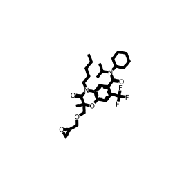 CCCCCN1C(=O)C(C)(COCC2CO2)Oc2cc(C(F)(F)F)c(C(=O)N(C(C)C)C3CCCCC3)cc21